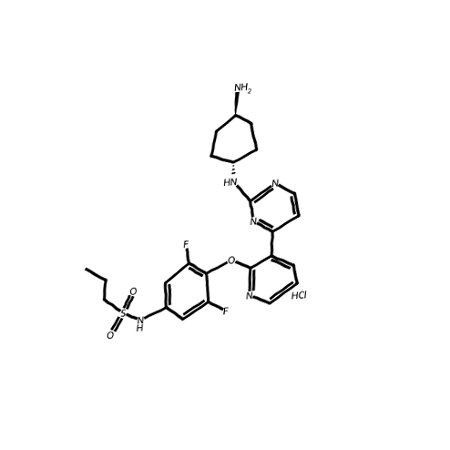 CCCS(=O)(=O)Nc1cc(F)c(Oc2ncccc2-c2ccnc(N[C@H]3CC[C@H](N)CC3)n2)c(F)c1.Cl